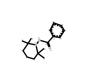 CC1(C)CCCC(C)(C)N1OC(=O)c1ccccc1